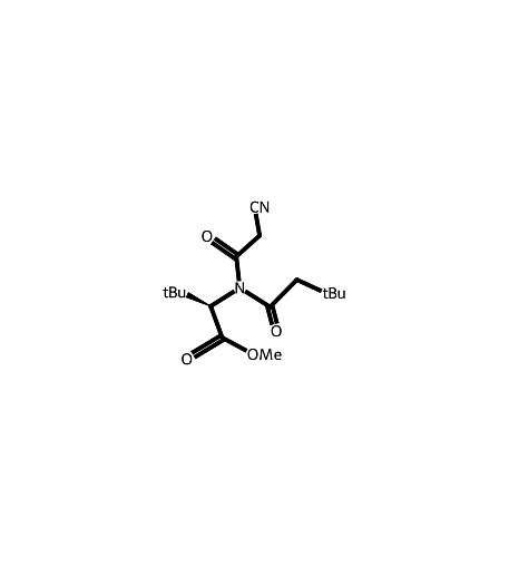 COC(=O)[C@H](N(C(=O)CC#N)C(=O)CC(C)(C)C)C(C)(C)C